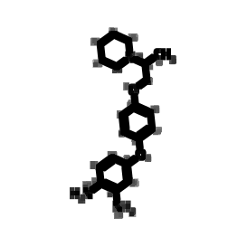 CC(COc1ccc(Oc2ccc(N)c(N)c2)cc1)N1CCCCC1